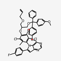 C=CCOCC(COC(c1ccccc1)(c1ccc(OC)cc1)c1ccc(OC)cc1)Oc1c(Cl)c(C)c(-n2c(-c3ccc(F)cc3)cc3ncnc(Cl)c32)c(C)c1Cl